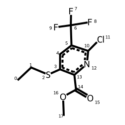 CCSc1cc(C(F)(F)F)c(Cl)nc1C(=O)OC